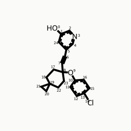 Oc1cncc(C#CC2(Oc3ccc(Cl)cc3)CCC3(CC3)CC2)c1